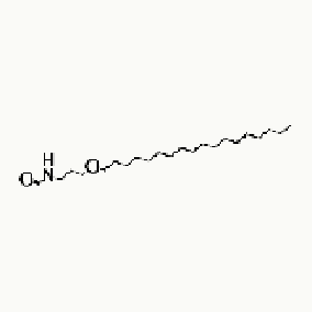 CCCCCCCCCCCCCCCCCCOCCCNC=O